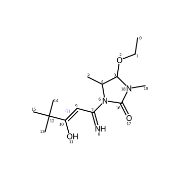 CCOC1C(C)N(C(=N)/C=C(\O)C(C)(C)C)C(=O)N1C